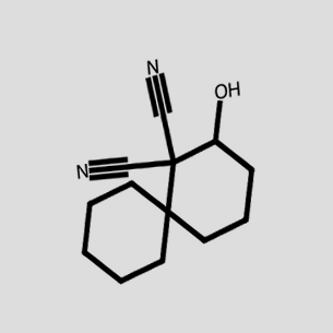 N#CC1(C#N)C(O)CCCC12CCCCC2